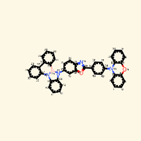 c1ccc2c(c1)Oc1ccccc1N2c1ccc(-c2nc3ccc(N4B5c6ccccc6-c6ccccc6N5c5ccccc54)cc3o2)cc1